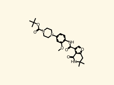 COc1cc(N2CCN(C(=O)OC(C)(C)C)CC2)ccc1NC(=O)c1coc2c1C(=O)NC(C)(C)C2